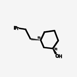 CC(C)CC[C@@H]1CCC[C@@H](O)C1